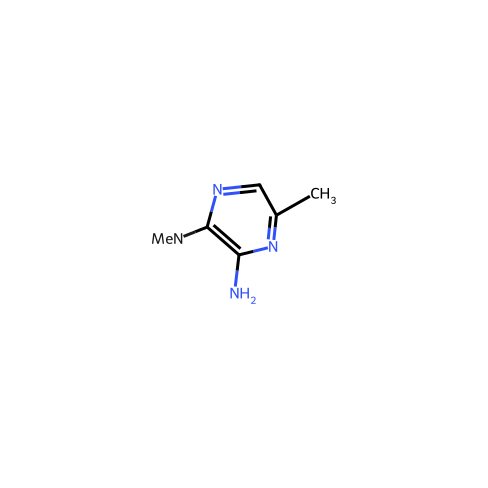 CNc1ncc(C)nc1N